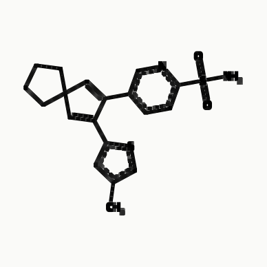 Cc1csc(C2=CC3(C=C2c2ccc(S(N)(=O)=O)nc2)CCCC3)c1